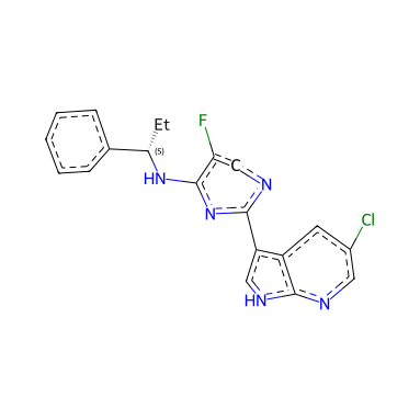 CC[C@H](Nc1nc(-c2c[nH]c3ncc(Cl)cc23)ncc1F)c1ccccc1